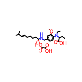 CCC(C(=O)O)N(CC)c1ccc(CNC(=O)CCCC/C=C/C(C)C)cc1OC.O=C(O)C(=O)O